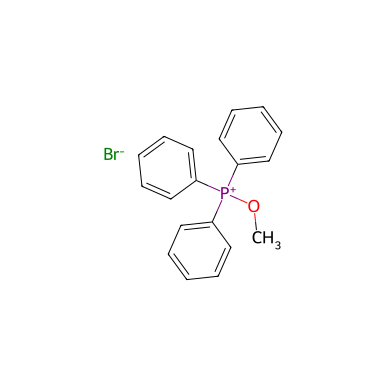 CO[P+](c1ccccc1)(c1ccccc1)c1ccccc1.[Br-]